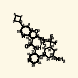 Nc1oc2cc(C3CCC3)cnc2c1C(=O)Nc1cnccc1N1C[C@H](N)C[C@H](C(F)(F)F)C1